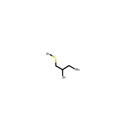 CC(C)SCC(CC(C)(C)C)C(C)C